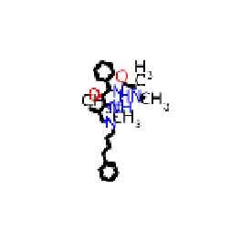 CCC(CN(C)CCCCc1ccccc1)C(=N)C(=O)[C@@H](NC(=O)[C@H](C)NC)C1CCCCC1